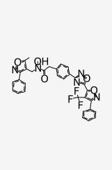 Cc1onc(-c2ccccc2)c1CN(O)C(=O)Cc1ccc(-c2noc(-c3onc(-c4ccccc4)c3C(F)(F)F)n2)cc1